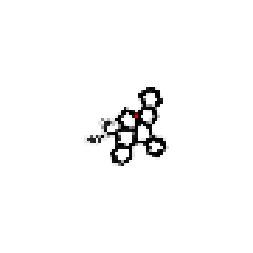 OB(O)c1c2c(c(-c3ccccc3-c3ccc4ccccc4c3)c3ccccc13)CCC=C2